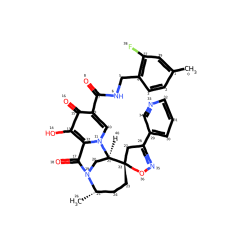 Cc1ccc(CNC(=O)c2cn3c(c(O)c2=O)C(=O)N2C[C@@H]3[C@]3(CC[C@@H]2C)CC(c2cccnc2)=NO3)c(F)c1